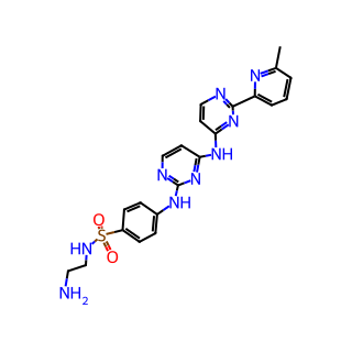 Cc1cccc(-c2nccc(Nc3ccnc(Nc4ccc(S(=O)(=O)NCCN)cc4)n3)n2)n1